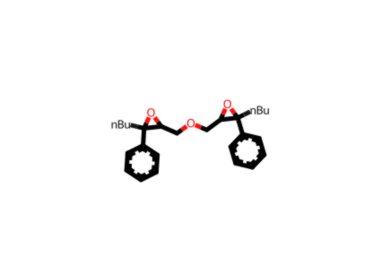 CCCCC1(c2ccccc2)OC1COCC1OC1(CCCC)c1ccccc1